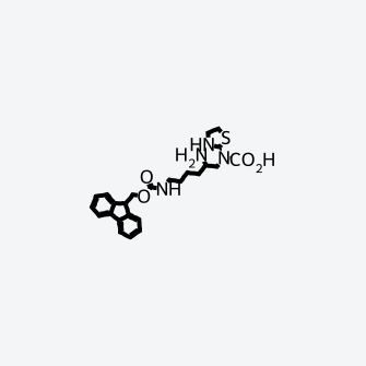 NC(CCCCNC(=O)OCC1c2ccccc2-c2ccccc21)CN(C(=O)O)[C@@H]1NCCS1